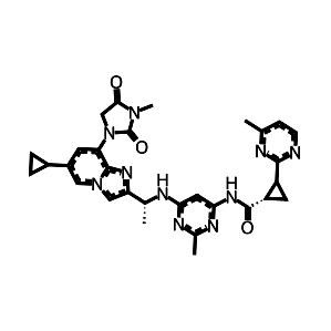 Cc1ccnc(C2C[C@@H]2C(=O)Nc2cc(N[C@H](C)c3cn4cc(C5CC5)cc(N5CC(=O)N(C)C5=O)c4n3)nc(C)n2)n1